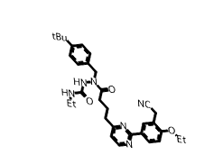 CCNC(=O)NN(Cc1ccc(C(C)(C)C)cc1)C(=O)CCCc1ccnc(-c2ccc(OCC)c(CC#N)c2)n1